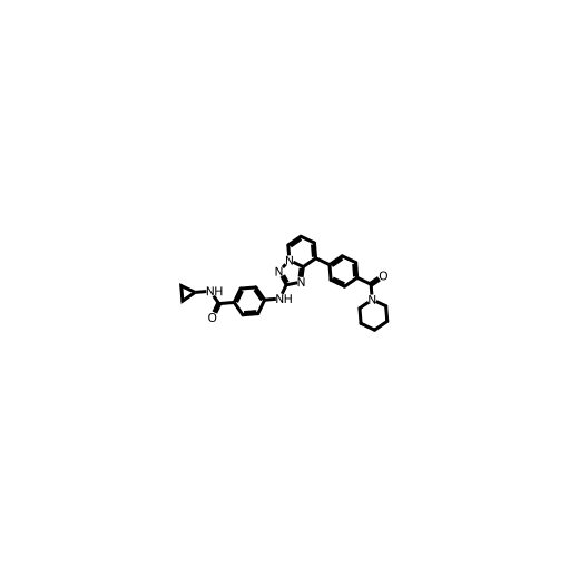 O=C(NC1CC1)c1ccc(Nc2nc3c(-c4ccc(C(=O)N5CCCCC5)cc4)cccn3n2)cc1